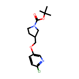 CC(C)(C)OC(=O)N1CCC(COc2ccc(Cl)nc2)C1